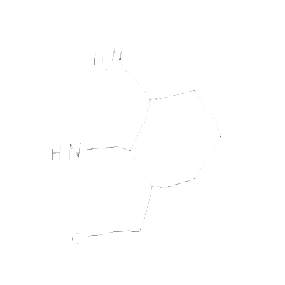 NC1CCCC(CCl)C1N